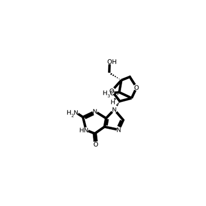 C[C@@H]1C2OC[C@]1(CO)O[C@H]2n1cnc2c(=O)[nH]c(N)nc21